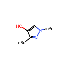 CCCCc1nn(CCC)cc1O